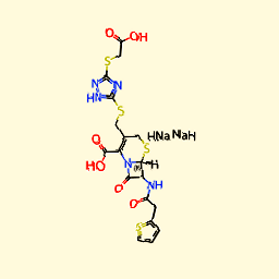 O=C(O)CSc1n[nH]c(SCC2=C(C(=O)O)N3C(=O)C(NC(=O)Cc4cccs4)[C@H]3SC2)n1.[NaH].[NaH]